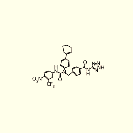 O=C(Nc1nn[nH]n1)c1ccc(CN(C(=O)Nc2ccc([N+](=O)[O-])c(C(F)(F)F)c2)c2ccc(C3=CCCCC3)cc2)cc1